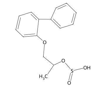 CC(COc1ccccc1-c1ccccc1)OS(=O)O